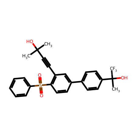 CC(C)(O)C#Cc1cc(-c2ccc(C(C)(O)C(F)(F)F)cc2)ccc1S(=O)(=O)c1ccccc1